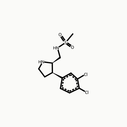 CS(=O)(=O)NC[C@@H]1NCC[C@@H]1c1ccc(Cl)c(Cl)c1